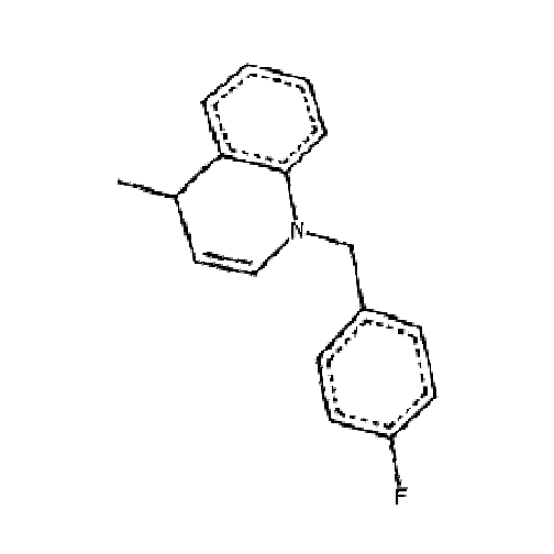 CC1C=CN(Cc2ccc(F)cc2)c2ccccc21